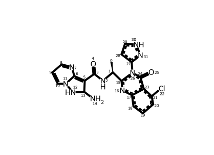 C[C@H](NC(=O)C1=C2N=CC=CN2NC1N)c1nc2cccc(Cl)c2c(=O)n1-c1cc[nH]n1